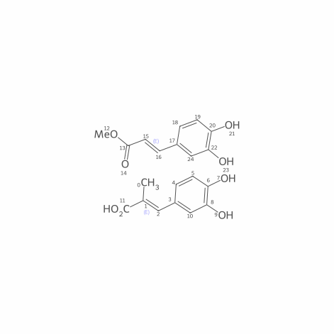 C/C(=C\c1ccc(O)c(O)c1)C(=O)O.COC(=O)/C=C/c1ccc(O)c(O)c1